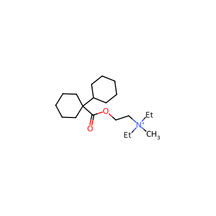 CC[N+](C)(CC)CCOC(=O)C1(C2CCCCC2)CCCCC1